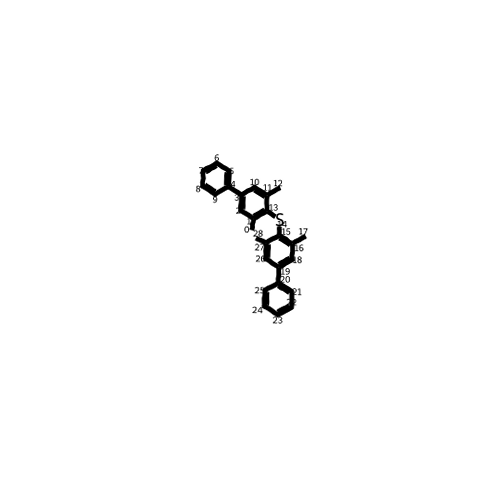 Cc1cc(-c2ccccc2)cc(C)c1Sc1c(C)cc(-c2ccccc2)cc1C